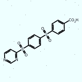 O=C(O)c1ccc(S(=O)(=O)c2ccc(S(=O)(=O)c3ccncn3)cc2)cc1